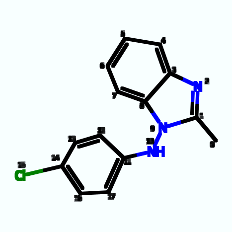 Cc1nc2ccccc2n1Nc1ccc(Cl)cc1